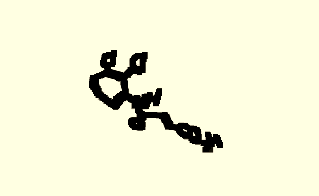 O=C(O)C=CC(=O)Nc1cccc(Cl)c1Cl